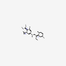 CC/C(I)=C1/C(C)=CC(C(C)C/C(CC)=C2/C=C(C)C=CC2C)=C/C1=N/C